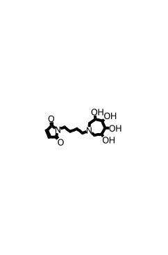 O=C1C=CC(=O)N1CCCCN1CC(O)C(O)C(O)C(O)C1